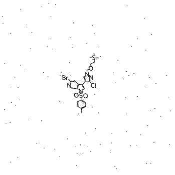 Cc1ccc(S(=O)(=O)n2cc(-c3cn(COCC[Si](C)(C)C)nc3Cl)c3cc(Br)ncc32)cc1